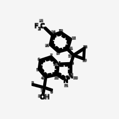 CC(C)(O)c1cccn2c(C3(c4ccc(C(F)(F)F)cc4)CC3)nnc12